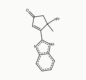 CCCC1(C)CC(=O)C=C1c1nc2ccccc2[nH]1